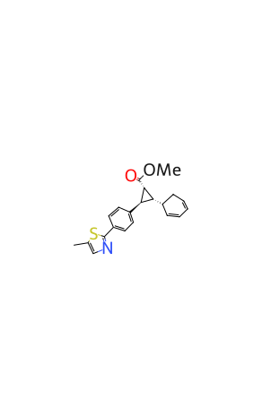 COC(=O)[C@H]1[C@H](c2ccc(-c3ncc(C)s3)cc2)[C@H]1C1C=CC=CC1